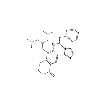 CC(C)CN(Cc1c(OC(Cc2ccccc2)n2ccnc2)ccc2c1CCCC2=O)CC(C)C